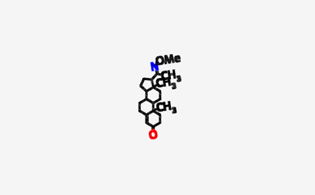 [CH2]O/N=C(\C)C1CCC2C3CCC4=CC(=O)CCC4(C)C3CCC12C